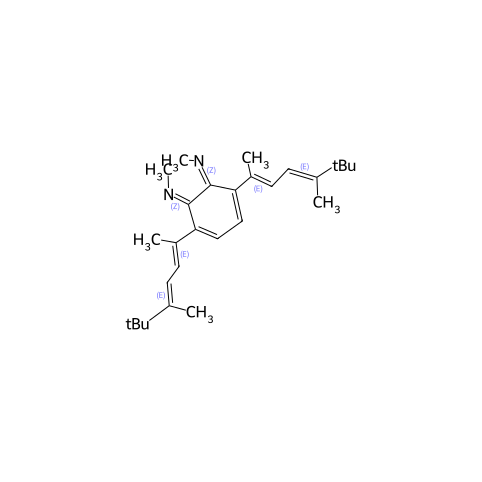 C/N=C1/C(/C(C)=C/C=C(\C)C(C)(C)C)=CC=C(/C(C)=C/C=C(\C)C(C)(C)C)/C1=N/C